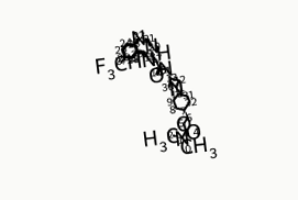 CN(C)C(=O)OC[C@H]1CC[C@H](N2CC(NC(=O)CNc3ncnc4ccc(C(F)(F)F)cc34)C2)CC1